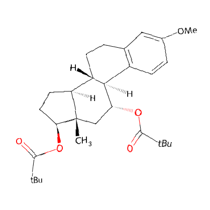 COc1ccc2c(c1)CC[C@@H]1[C@@H]2[C@H](OC(=O)C(C)(C)C)C[C@]2(C)[C@@H](OC(=O)C(C)(C)C)CC[C@@H]12